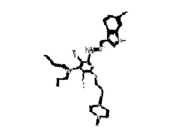 CCCN(CCC)c1c(F)c(N/N=C/c2c[nH]c3cc(C)ccc23)nc(OCCN2CCN(C)CC2)c1F